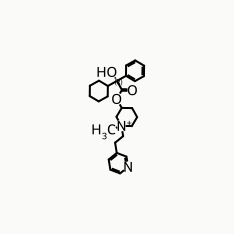 C[N+]1(CCc2cccnc2)CCCC(OC(=O)[C@](O)(c2ccccc2)C2CCCCC2)C1